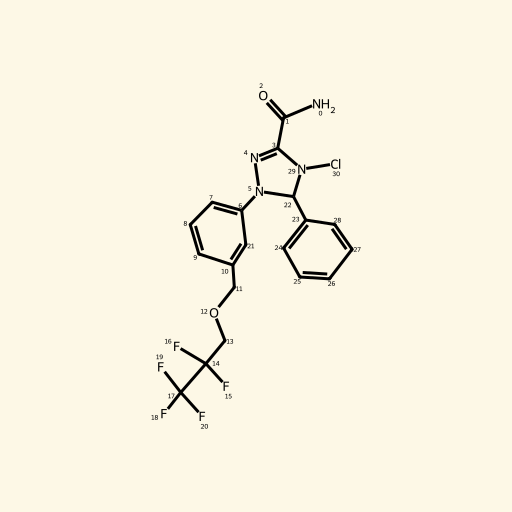 NC(=O)C1=NN(c2cccc(COCC(F)(F)C(F)(F)F)c2)C(c2ccccc2)N1Cl